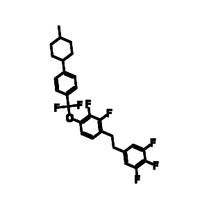 CC1CCC(c2ccc(C(F)(F)Oc3ccc(CCc4cc(F)c(F)c(F)c4)c(F)c3F)cc2)CC1